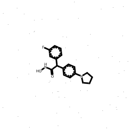 O=C(NO)C(c1ccc(N2CCCC2)cc1)c1cccc(F)c1